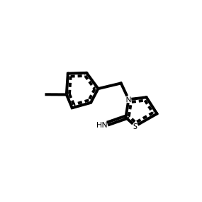 Cc1ccc(Cn2ccsc2=N)cc1